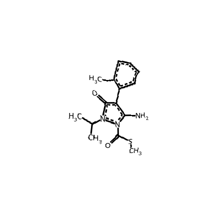 CSC(=O)n1c(N)c(-c2ccccc2C)c(=O)n1C(C)C